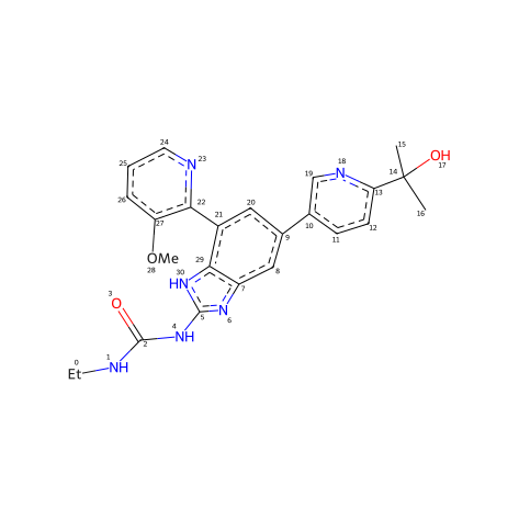 CCNC(=O)Nc1nc2cc(-c3ccc(C(C)(C)O)nc3)cc(-c3ncccc3OC)c2[nH]1